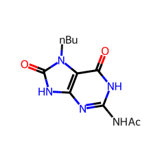 CCCCn1c(=O)[nH]c2nc(NC(C)=O)[nH]c(=O)c21